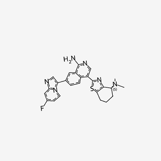 CN(C)[C@H]1CCCc2sc(-c3cnc(N)c4cc(-c5cnc6cc(F)ccn56)ccc34)nc21